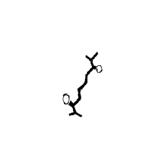 CC(C)C(=O)CCCCC(=O)C(C)C